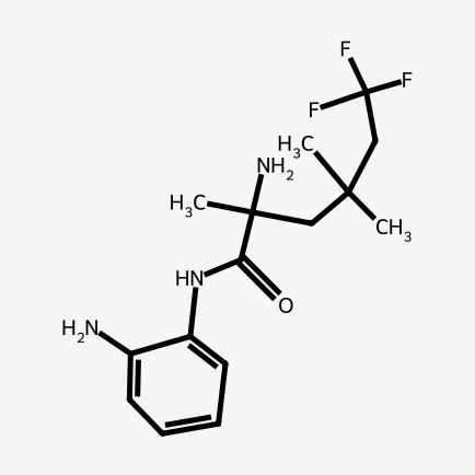 CC(C)(CC(F)(F)F)CC(C)(N)C(=O)Nc1ccccc1N